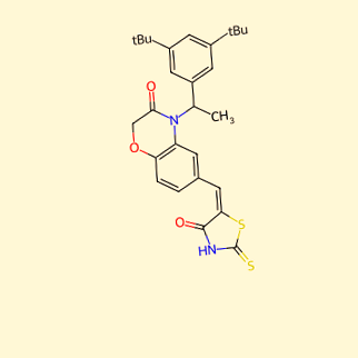 CC(c1cc(C(C)(C)C)cc(C(C)(C)C)c1)N1C(=O)COc2ccc(C=C3SC(=S)NC3=O)cc21